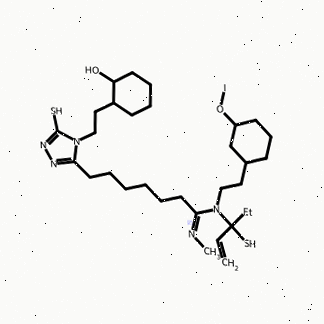 C=CC(S)(CC)N(CCC1CCCC(OI)C1)/C(CCCCCCc1nnc(S)n1CCC1CCCCC1O)=N\C